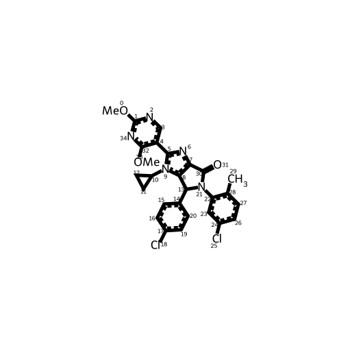 COc1ncc(-c2nc3c(n2C2CC2)C(c2ccc(Cl)cc2)N(c2cc(Cl)ccc2C)C3=O)c(OC)n1